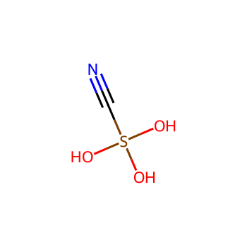 N#CS(O)(O)O